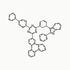 C1=CC(n2c(-c3ccccc3)nc3ccccc32)CC(c2nc(-c3ccc(-c4ccccc4)cc3)nc(-c3ccc4c5ccccc5c5ccccc5c4c3)n2)=C1